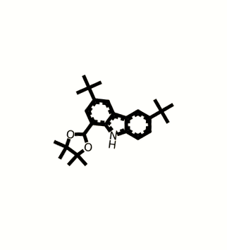 CC(C)(C)c1ccc2[nH]c3c(C4OC(C)(C)C(C)(C)O4)cc(C(C)(C)C)cc3c2c1